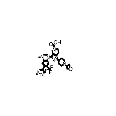 CN1CCN(c2nn(C3CCN(C4COC4)CC3)c3c2CN(C(=O)O)CC3)c2cc(C(F)(F)F)c(-c3cnn(C)c3)cc21